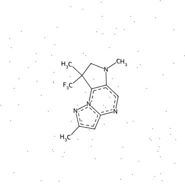 Cc1cc2ncc3c(n2n1)C(C)(C(F)(F)F)CN3C